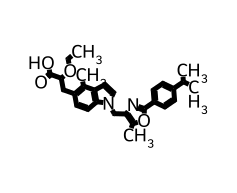 CCOC(Cc1ccc2c(ccn2Cc2nc(-c3ccc(C(C)C)cc3)oc2C)c1C)C(=O)O